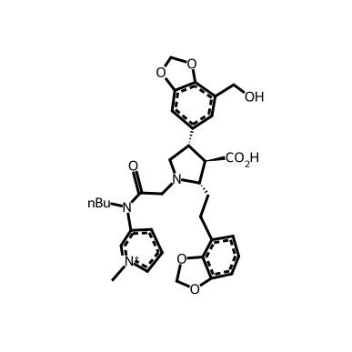 CCCCN(C(=O)CN1C[C@H](c2cc(CO)c3c(c2)OCO3)[C@@H](C(=O)O)[C@@H]1CCc1cccc2c1OCO2)c1ccc[n+](C)c1